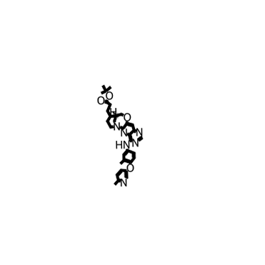 Cc1ccc(Oc2ccc(Nc3ncnc4cc5c(nc34)N3CCC(CCC(=O)OC(C)(C)C)[C@H](CO5)C3)cc2C)cn1